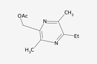 CCc1nc(C)c(COC(C)=O)nc1C